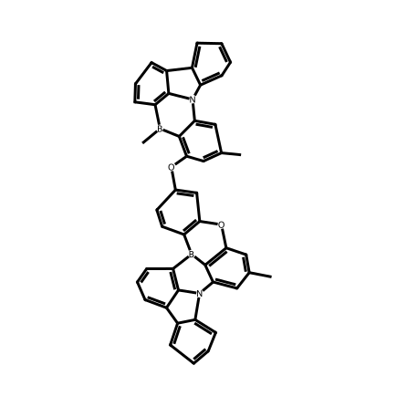 CB1c2c(Oc3ccc4c(c3)Oc3cc(C)cc5c3B4c3cccc4c6ccccc6n-5c34)cc(C)cc2-n2c3ccccc3c3cccc1c32